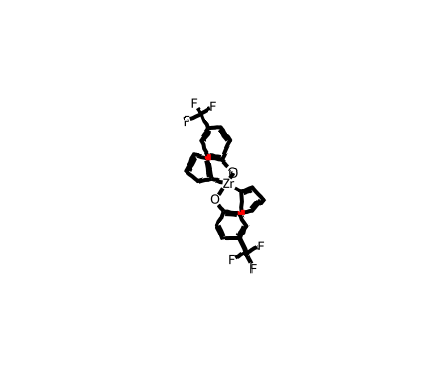 FC(F)(F)c1ccc([O][Zr]([O]c2ccc(C(F)(F)F)cc2)([C]2=CC=CC2)[C]2=CC=CC2)cc1